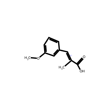 COc1cccc(/C=C(\C)C(=O)O)c1